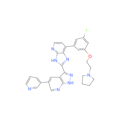 Fc1cc(OCCN2CCCC2)cc(-c2ccnc3[nH]c(-c4n[nH]c5ncc(-c6cccnc6)cc45)nc23)c1